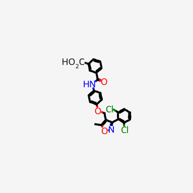 Cc1onc(-c2c(Cl)cccc2Cl)c1COc1ccc(NC(=O)c2cccc(C(=O)O)c2)cc1